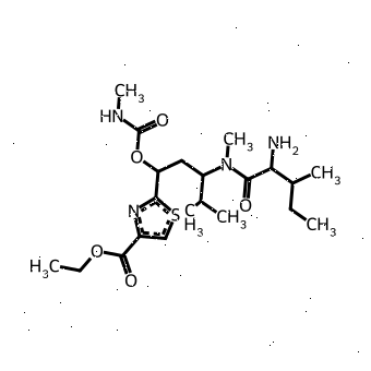 CCOC(=O)c1csc(C(CC(C(C)C)N(C)C(=O)C(N)C(C)CC)OC(=O)NC)n1